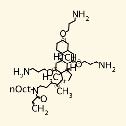 C=CC(=O)N(CCCCCCCC)CCC[C@@H](C)[C@H]1CC[C@H]2C3[C@H](OCCCN)CC4C[C@H](OCCCN)CC[C@]4(C)[C@H]3C[C@H](OCCCN)C12C